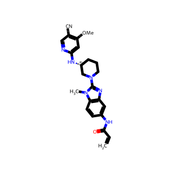 C=CC(=O)Nc1ccc2c(c1)nc(N1CCC[C@@H](Nc3cc(OC)c(C#N)cn3)C1)n2C